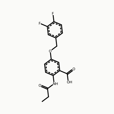 CCC(=O)Nc1ccc(OCc2ccc(F)c(F)c2)cc1C(=O)O